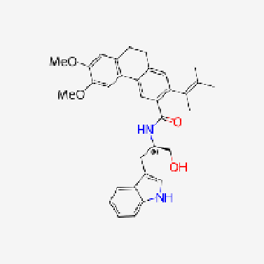 COc1cc2c(cc1OC)-c1cc(C(=O)N[C@@H](CO)Cc3c[nH]c4ccccc34)c(C(C)=C(C)C)cc1CC2